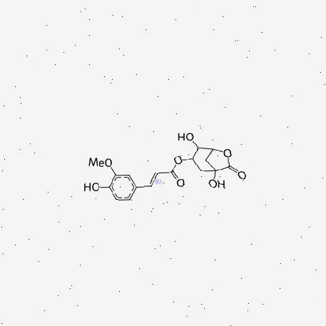 COc1cc(/C=C/C(=O)OC2CC3(O)CC(OC3=O)C2O)ccc1O